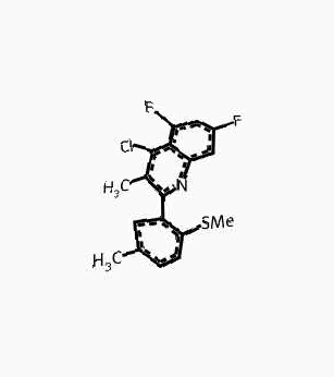 CSc1ccc(C)cc1-c1nc2cc(F)cc(F)c2c(Cl)c1C